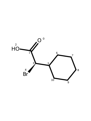 O=C(O)[C@H](Br)C1CCCCC1